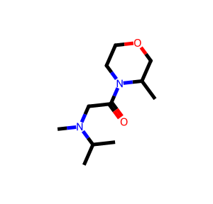 CC(C)N(C)CC(=O)N1CCOCC1C